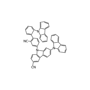 N#Cc1ccc2c(c1)c1ccc(-n3c4ccccc4c4ccccc43)cc1n2-c1ccc(-c2ccccc2-n2c3ccccc3c3ccccc32)c(C#N)c1